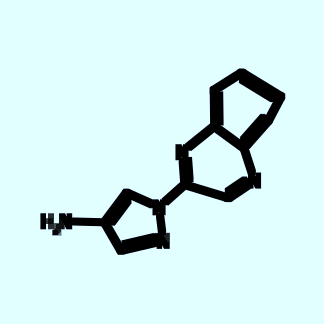 Nc1cnn(-c2cnc3ccccc3n2)c1